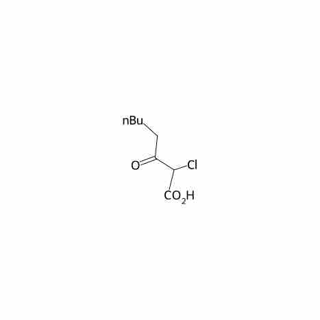 CCCCCC(=O)C(Cl)C(=O)O